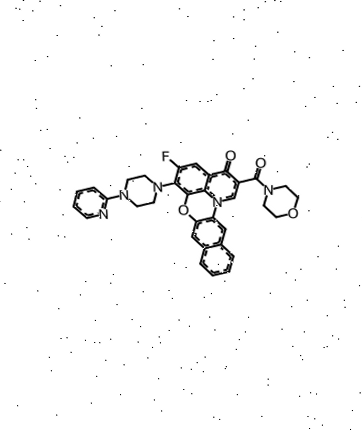 O=C(c1cn2c3c(c(N4CCN(c5ccccn5)CC4)c(F)cc3c1=O)Oc1cc3ccccc3cc1-2)N1CCOCC1